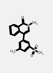 Cc1cc(-c2cn(C)c(=O)c3ccccc23)cc(S(C)(=O)=O)c1